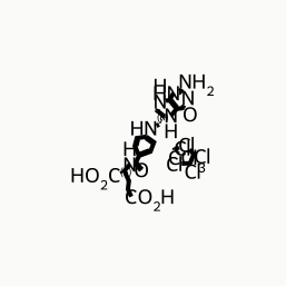 ClC(Cl)C(Cl)Cl.ClCC(Cl)(Cl)Cl.Nc1nc(=O)c2c([nH]1)NC[C@@H](CNc1ccc(C(=O)N[C@@H](CCC(=O)O)C(=O)O)cc1)N2